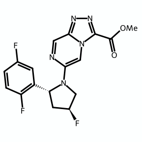 COC(=O)c1nnc2cnc(N3C[C@@H](F)C[C@@H]3c3cc(F)ccc3F)cn12